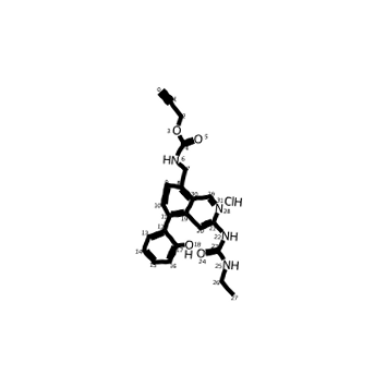 C#CCOC(=O)NCc1ccc(-c2ccccc2O)c2cc(NC(=O)NCC)ncc12.Cl